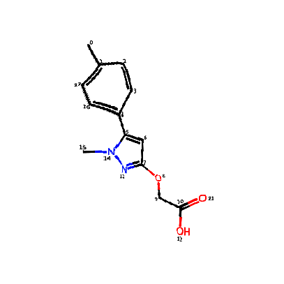 Cc1ccc(-c2cc(OCC(=O)O)nn2C)cc1